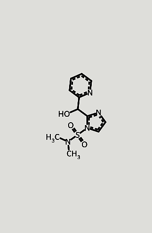 CN(C)S(=O)(=O)n1ccnc1C(O)c1ccccn1